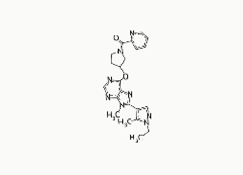 CCn1ncc(-c2nc3c(OC4CCN(C(=O)c5ccccn5)C4)ncnc3n2C)c1C